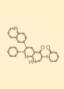 O=c1c(-n2ccccc2=O)c[nH]c2nc(-c3ccccc3)c(-c3ccc4ncccc4c3)cc12